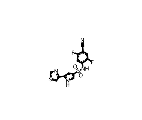 N#Cc1cc(F)c(NS(=O)(=O)c2c[nH]c(-c3cscn3)c2)cc1F